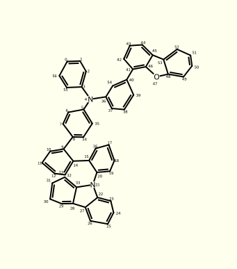 c1ccc(N(c2ccc(-c3ccccc3-c3ccccc3-n3c4ccccc4c4ccccc43)cc2)c2cccc(-c3cccc4c3oc3ccccc34)c2)cc1